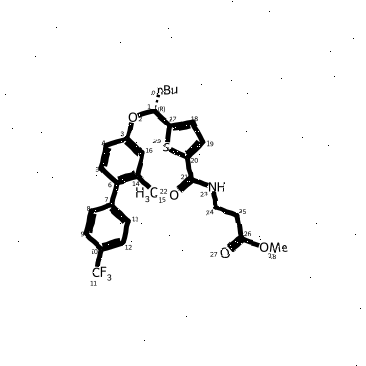 CCCC[C@@H](Oc1ccc(-c2ccc(C(F)(F)F)cc2)c(C)c1)c1ccc(C(=O)NCCC(=O)OC)s1